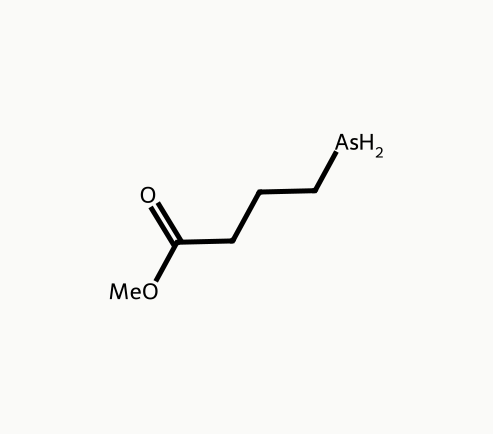 COC(=O)CCC[AsH2]